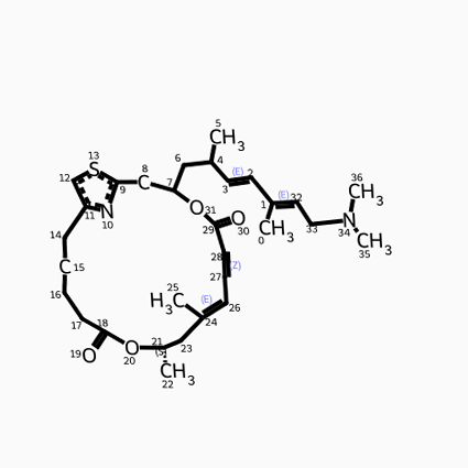 CC(/C=C/C(C)CC1Cc2nc(cs2)CCCCC(=O)O[C@@H](C)C/C(C)=C/C=C\C(=O)O1)=C\CN(C)C